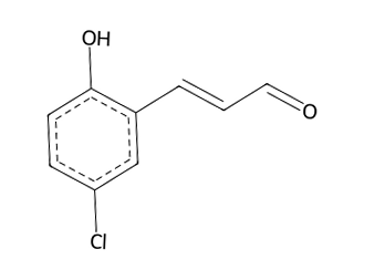 O=CC=Cc1cc(Cl)ccc1O